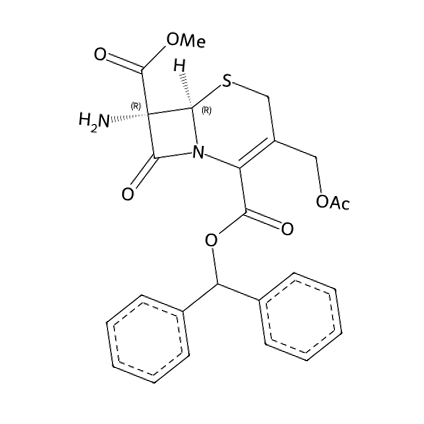 COC(=O)[C@]1(N)C(=O)N2C(C(=O)OC(c3ccccc3)c3ccccc3)=C(COC(C)=O)CS[C@@H]21